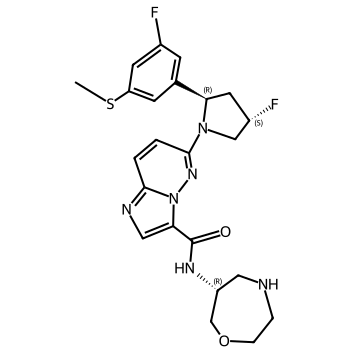 CSc1cc(F)cc([C@H]2C[C@H](F)CN2c2ccc3ncc(C(=O)N[C@@H]4CNCCOC4)n3n2)c1